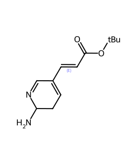 CC(C)(C)OC(=O)/C=C/C1=CCC(N)N=C1